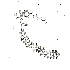 CCCCCCCCc1cnc(-c2ccccc2OCC(O)COCC(F)(F)C(F)(F)C(F)(F)C(F)(F)C(F)(F)OC(F)(F)C(F)(F)OC(F)(F)C(F)(F)OC(F)(F)C(F)(F)C(F)(F)C(F)(F)F)nc1